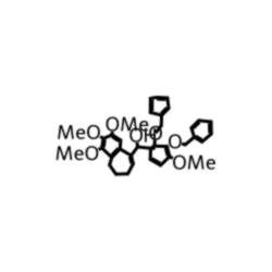 COc1ccc(C(O)C2=CCCCc3c2cc(OC)c(OC)c3OC)c(OCc2ccccc2)c1OCc1ccccc1